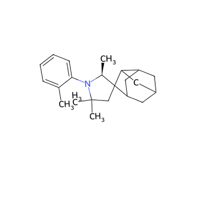 Cc1ccccc1N1[C@@H](C)C2(CC1(C)C)C1CC3CC(C1)C2C3